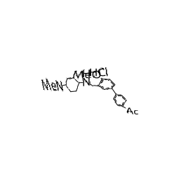 CNC1CCC(NCc2cc(-c3ccc(C(C)=O)cc3)ccc2OC)CC1.Cl